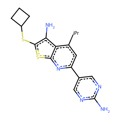 CC(C)c1cc(-c2cnc(N)nc2)nc2sc(SC3CCC3)c(N)c12